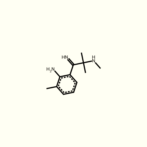 CNC(C)(C)C(=N)c1cccc(C)c1N